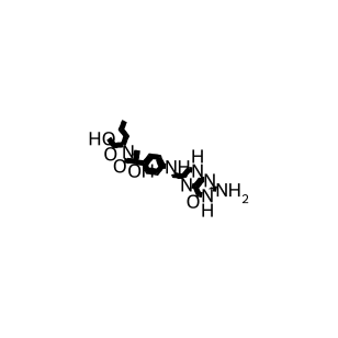 CCCC(C(=O)O)N1CC(O)(c2ccc(NCC3=Nc4c(nc(N)[nH]c4=O)NC3)cc2)C1=O